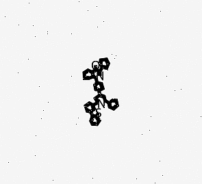 c1ccc(-c2cc(-c3ccc(-c4nc5c6ccccc6oc5c5ccccc45)cc3)cc(-c3cccc4c3sc3ccccc34)n2)cc1